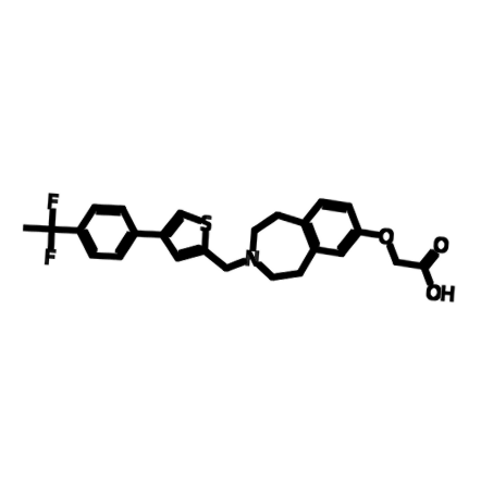 CC(F)(F)c1ccc(-c2csc(CN3CCc4ccc(OCC(=O)O)cc4CC3)c2)cc1